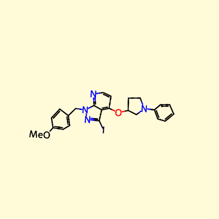 COc1ccc(Cn2nc(I)c3c(OC4CCN(c5ccccc5)C4)ccnc32)cc1